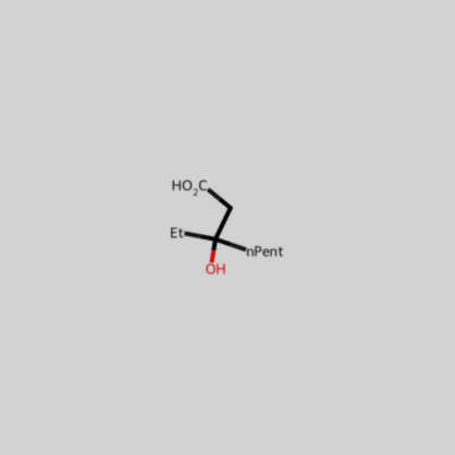 CCCCCC(O)(CC)CC(=O)O